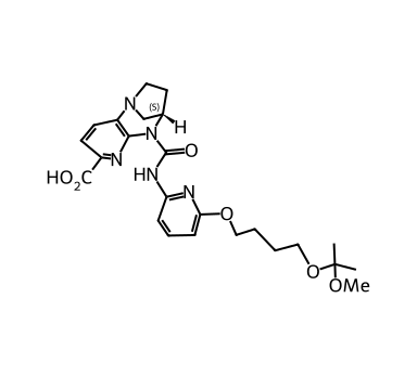 COC(C)(C)OCCCCOc1cccc(NC(=O)N2c3nc(C(=O)O)ccc3N3CC[C@H]2C3)n1